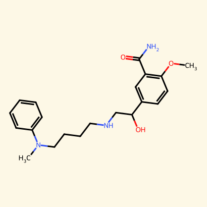 COc1ccc(C(O)CNCCCCN(C)c2ccccc2)cc1C(N)=O